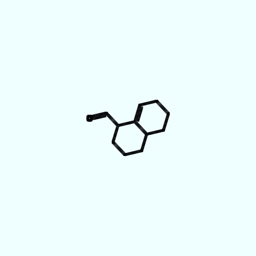 O=CC1CCCC2CCCC=C12